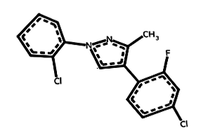 Cc1nn(-c2ccccc2Cl)[c]c1-c1ccc(Cl)cc1F